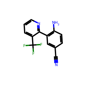 N#Cc1ccc(N)c(-c2ncccc2C(F)(F)F)c1